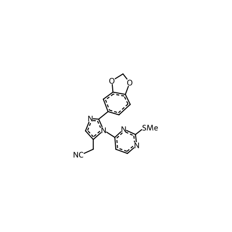 CSc1nccc(-n2c(CC#N)cnc2-c2ccc3c(c2)OCO3)n1